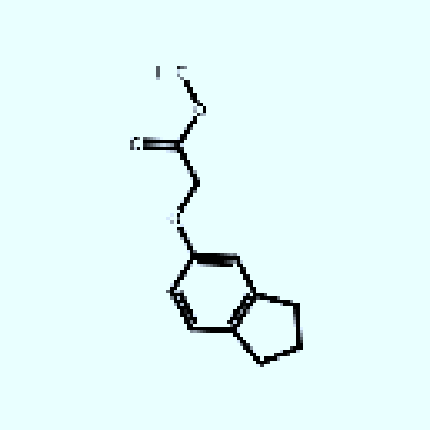 COC(=O)COc1ccc2c(c1)CCC2